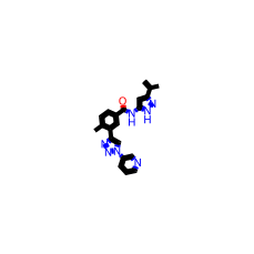 C=C(C)c1cc(NC(=O)c2ccc(C)c(-c3cn(-c4cccnc4)nn3)c2)[nH]n1